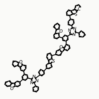 c1ccc(-c2nc(-c3ccc(-c4ccc5sc6c(-c7ccc8c(c7)oc7c(-c9cc(-c%10nc(-c%11ccccc%11)nc(-c%11ccc(-c%12cccc%13c%12sc%12ccccc%12%13)cc%11)n%10)cc(-c%10cccc%11c%10oc%10ccccc%10%11)c9)cccc78)cccc6c5c4)cc3)nc(-c3cc(-c4ccc5oc6ccccc6c5c4)cc(-c4ccc5oc6ccccc6c5c4)c3)n2)cc1